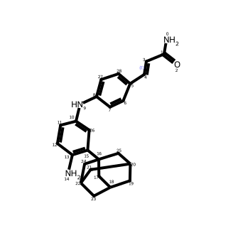 NC(=O)/C=C/c1ccc(Nc2ccc(N)c(C34CC5CC(CC(C5)C3)C4)c2)cc1